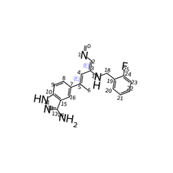 C=N/C=C(\C=C(/C)c1ccc2[nH]nc(N)c2c1)NCc1ccccc1F